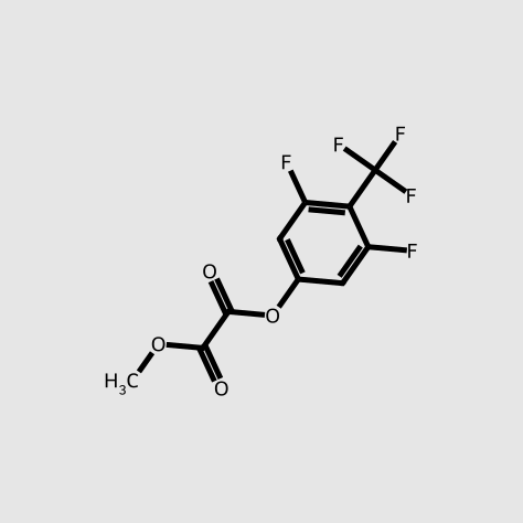 COC(=O)C(=O)Oc1cc(F)c(C(F)(F)F)c(F)c1